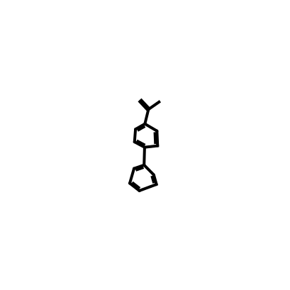 C=C(C)c1ccc(-c2ccccc2)cc1